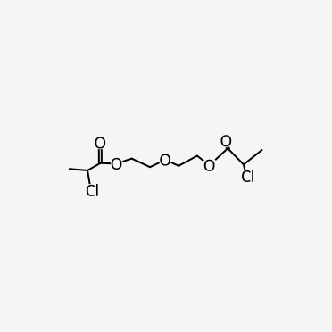 CC(Cl)C(=O)OCCOCCOC(=O)C(C)Cl